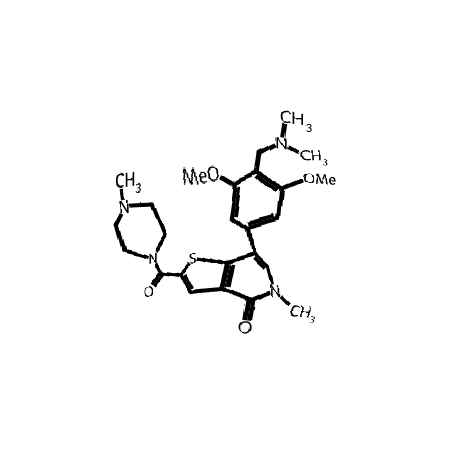 COc1cc(-c2cn(C)c(=O)c3cc(C(=O)N4CCN(C)CC4)sc23)cc(OC)c1CN(C)C